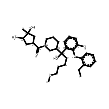 CCc1ccccc1Oc1c(Cl)cccc1C(O)(CCCCOC)C1CCCN(C(=O)C2CC(N)C(C)(O)C2)C1